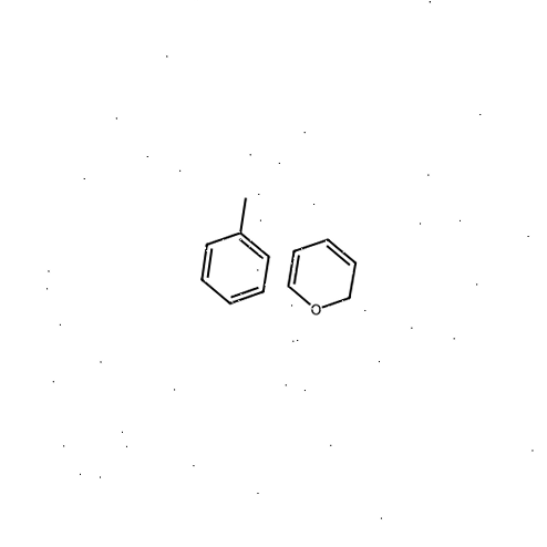 C1=CCOC=C1.Cc1ccccc1